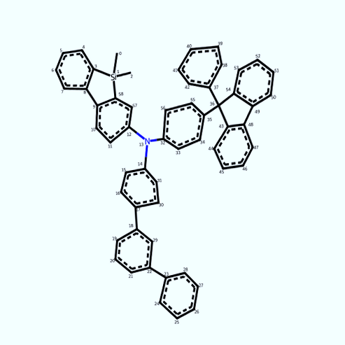 C[Si]1(C)c2ccccc2-c2ccc(N(c3ccc(-c4cccc(-c5ccccc5)c4)cc3)c3ccc(C4(c5ccccc5)c5ccccc5-c5ccccc54)cc3)cc21